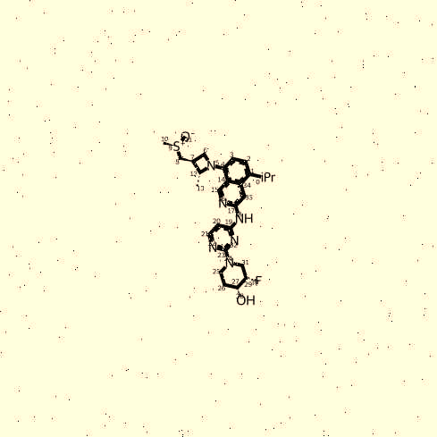 CC(C)c1ccc(N2C[C@H](C[S@@+](C)[O-])[C@H]2C)c2cnc(Nc3ccnc(N4CC[C@@H](O)[C@@H](F)C4)n3)cc12